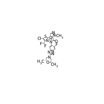 C[C@@H]1CN(c2nc3cc(NC(=O)c4c(-c5nc(C(F)F)c(Cl)s5)cnn4C)c(F)cn3n2)C[C@H](C)O1